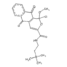 COC1(Cl)OC(C(=O)NCC[N+](C)(C)C)=CC2=C1C(=O)c1ccccc1C2=O